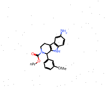 CCCOC(=O)N1CCc2c([nH]c3ccc(N)cc23)C1c1cccc(OC)c1